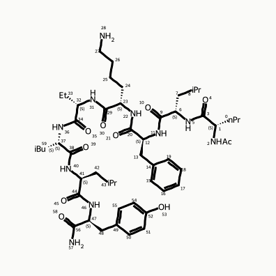 CCC[C@H](NC(C)=O)C(=O)N[C@@H](CC(C)C)C(=O)N[C@@H](Cc1ccccc1)C(=O)N[C@@H](CCCCN)C(=O)N[C@@H](CC)C(=O)N[C@H](C(=O)N[C@@H](CC(C)C)C(=O)N[C@@H](Cc1ccc(O)cc1)C(N)=O)[C@@H](C)CC